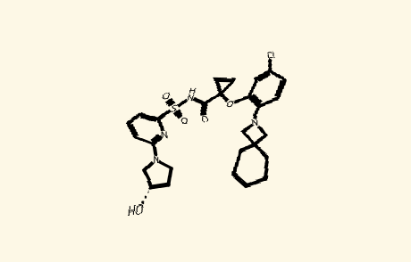 O=C(NS(=O)(=O)c1cccc(N2CC[C@H](O)C2)n1)C1(Oc2cc(Cl)ccc2N2CC3(CCCCC3)C2)CC1